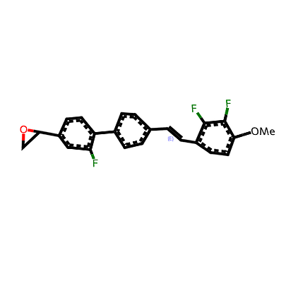 COc1ccc(/C=C/c2ccc(-c3ccc(C4CO4)cc3F)cc2)c(F)c1F